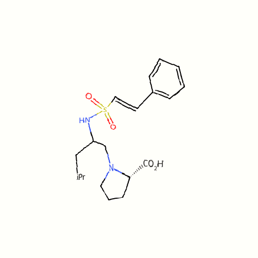 CC(C)CC(CN1CCC[C@H]1C(=O)O)NS(=O)(=O)/C=C/c1ccccc1